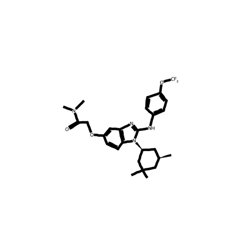 C[C@@H]1C[C@H](n2c(Nc3ccc(OC(F)(F)F)cc3)nc3cc(OCC(=O)N(C)C)ccc32)CC(C)(C)C1